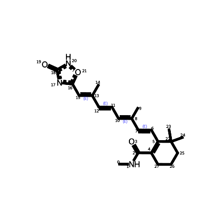 CNC(=O)C1=C(/C=C/C(C)=C/C=C/C(C)=C/c2nc(=O)[nH]o2)C(C)(C)CCC1